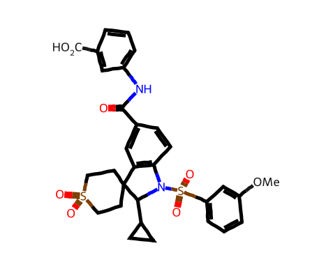 COc1cccc(S(=O)(=O)N2c3ccc(C(=O)Nc4cccc(C(=O)O)c4)cc3C3(CCS(=O)(=O)CC3)C2C2CC2)c1